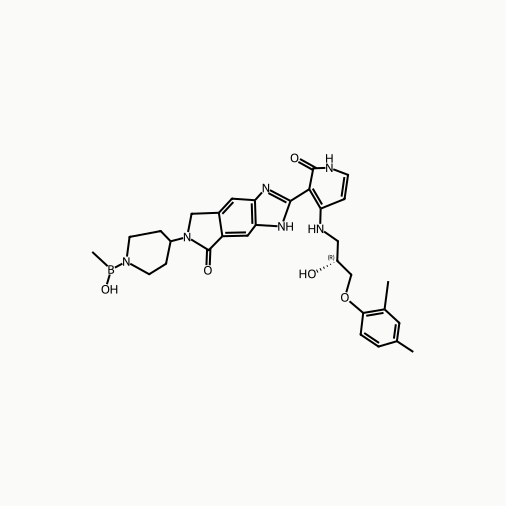 CB(O)N1CCC(N2Cc3cc4nc(-c5c(NC[C@@H](O)COc6ccc(C)cc6C)cc[nH]c5=O)[nH]c4cc3C2=O)CC1